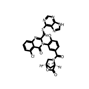 COc1ccc(C(=O)N2C[C@H]3C[C@@H]2C(=O)O3)cc1-n1c(CSc2ncnc3[nH]cnc23)nc2cccc(Cl)c2c1=O